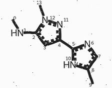 CNc1cc(-c2ncc(C)[nH]2)nn1C